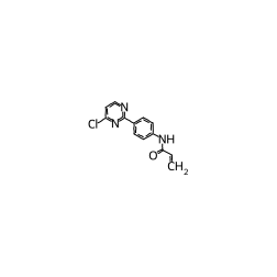 C=CC(=O)Nc1ccc(-c2nccc(Cl)n2)cc1